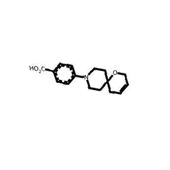 O=C(O)c1ccc(N2CCC3(CC=CCO3)CC2)cc1